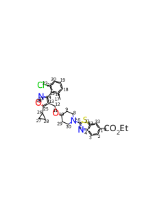 CCOC(=O)c1ccc2nc(N3CCC(OCc4c(-c5c(C)cccc5Cl)noc4C4CC4)CC3)sc2c1